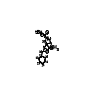 CC(C)(C)OC(=O)N1CCC(COCc2ccccc2)(C(N)=O)C1